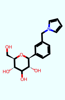 OC[C@H]1O[C@@H](c2cccc(Cn3cccc3)c2)[C@H](O)C(O)[C@@H]1O